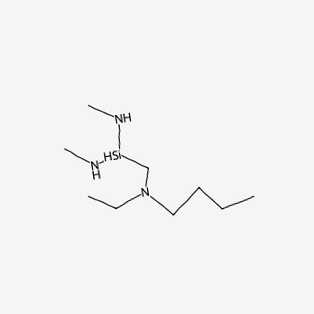 CCCCN(CC)C[SiH](NC)NC